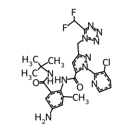 Cc1cc(N)cc(C(=O)NC(C)(C)C)c1NC(=O)c1cc(Cn2nnnc2C(F)F)nn1-c1ncccc1Cl